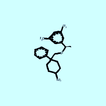 C[C@@H](OCC1(c2ccccc2)CCC([N+](=O)[O-])CC1)c1cc(C(F)(F)F)cc(C(F)(F)F)c1